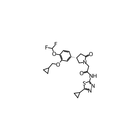 O=C(CN1C[C@H](c2ccc(OC(F)F)c(OCC3CC3)c2)CC1=O)Nc1nnc(C2CC2)s1